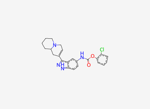 O=C(Nc1ccc2[nH]nc(C3=CCN4CCCCC4C3)c2c1)Oc1ccccc1Cl